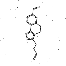 O=COCc1noc2c1CCc1cc(C=O)ccc1-2